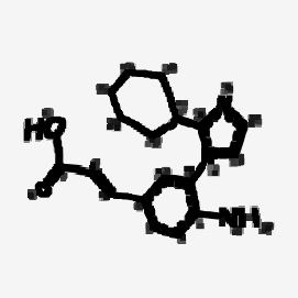 Nc1ccc(/C=C/C(=O)O)cc1-n1ccnc1C1CCCCC1